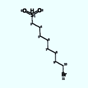 O=[SH](=O)CCCCCCCCBr